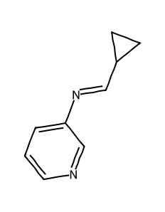 C(=Nc1cccnc1)C1CC1